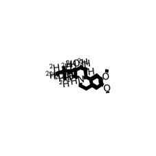 [2H]C([2H])([2H])C(C)(C([2H])([2H])[2H])C([2H])([2H])C1([2H])C([2H])([2H])N2CCc3cc(OC)c(OC)cc3C2C([2H])([2H])C1([2H])O